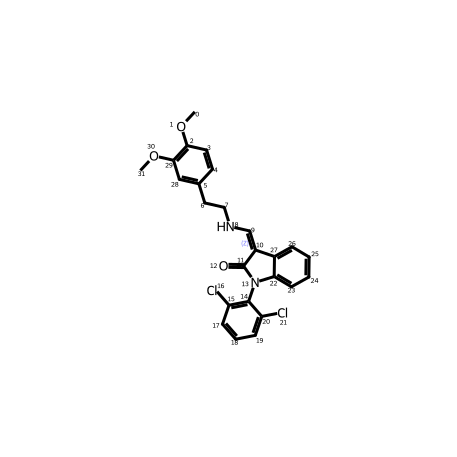 COc1ccc(CCN/C=C2\C(=O)N(c3c(Cl)cccc3Cl)c3ccccc32)cc1OC